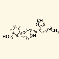 COc1ccc(-c2cn3cc(-c4cccc(CO)c4)ccc3n2)c(OC)c1